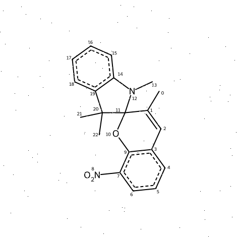 CC1=Cc2cccc([N+](=O)[O-])c2OC12N(C)c1ccccc1C2(C)C